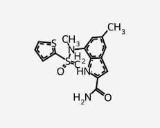 C=S(=O)(c1cccs1)N(C)c1cc(C)cc2cc(C(N)=O)[nH]c12